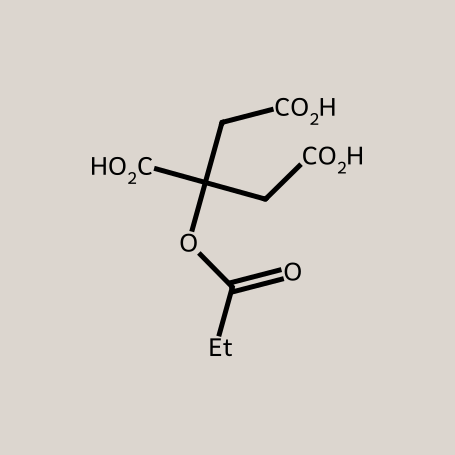 CCC(=O)OC(CC(=O)O)(CC(=O)O)C(=O)O